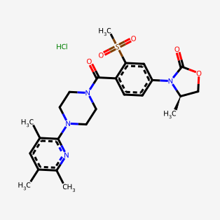 Cc1cc(C)c(N2CCN(C(=O)c3ccc(N4C(=O)OC[C@H]4C)cc3S(C)(=O)=O)CC2)nc1C.Cl